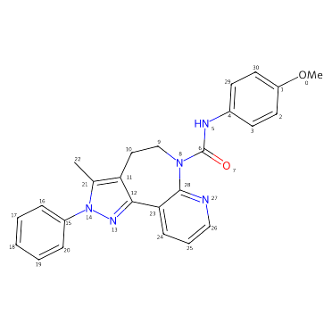 COc1ccc(NC(=O)N2CCc3c(nn(-c4ccccc4)c3C)-c3cccnc32)cc1